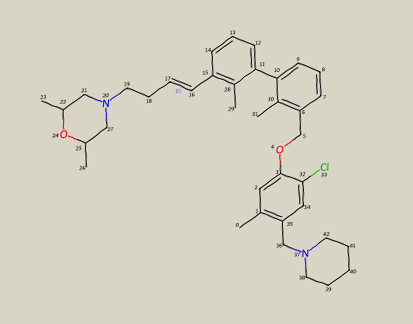 Cc1cc(OCc2cccc(-c3cccc(/C=C/CCN4CC(C)OC(C)C4)c3C)c2C)c(Cl)cc1CN1CCCCC1